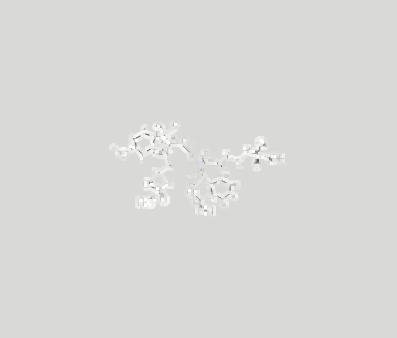 COc1ccc2c(c1)[N+](CCCS(=O)(=O)O)=C(/C=C/C=C1/N(CCCS(=O)(=O)O)c3cccc(C(=O)O)c3C1(C)C)C2(C)C